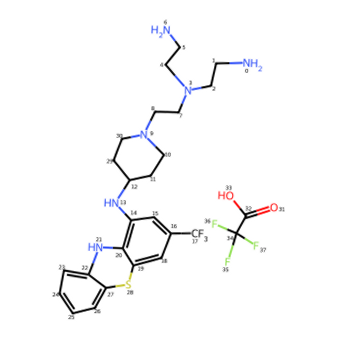 NCCN(CCN)CCN1CCC(Nc2cc(C(F)(F)F)cc3c2Nc2ccccc2S3)CC1.O=C(O)C(F)(F)F